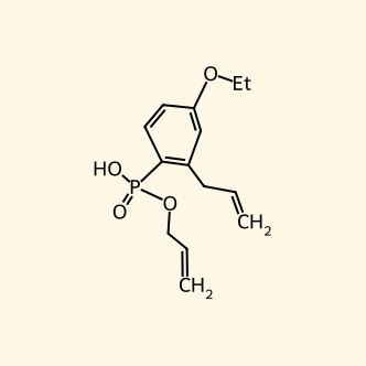 C=CCOP(=O)(O)c1ccc(OCC)cc1CC=C